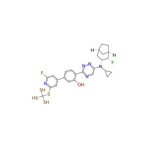 Oc1cc(-c2cc(F)nc(SC(S)(S)S)c2)ccc1-c1ncc(N(C2CC2)[C@@H]2C[C@H]3CC[C@H](C3)[C@@H]2F)nn1